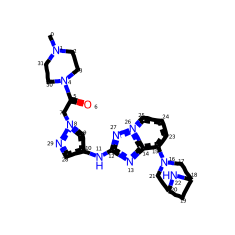 CN1CCN(C(=O)Cn2cc(Nc3nc4c(N5CC6CC(C5)N6)cccn4n3)cn2)CC1